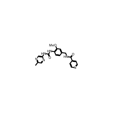 COc1cc(CNC(=O)c2ccncc2)ccc1NC(=O)Nc1cnc(C)cn1